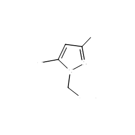 CCOC(=O)Cn1nc(Cl)cc1Cl